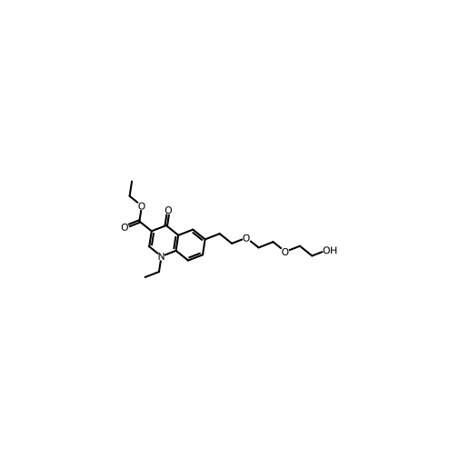 CCOC(=O)c1cn(CC)c2ccc(CCOCCOCCO)cc2c1=O